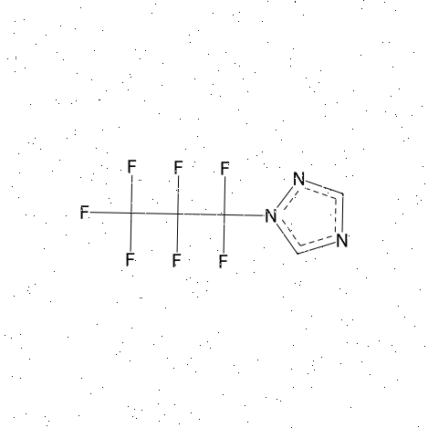 FC(F)(F)C(F)(F)C(F)(F)n1cncn1